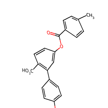 Cc1ccc(C(=O)Oc2ccc(C(=O)O)c(-c3ccc(O)cc3)c2)cc1